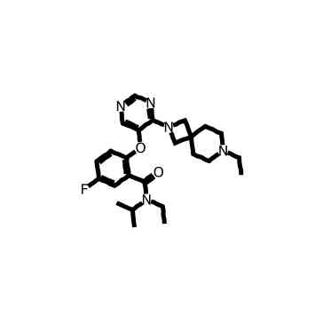 CCN1CCC2(CC1)CN(c1ncncc1Oc1ccc(F)cc1C(=O)N(CC)C(C)C)C2